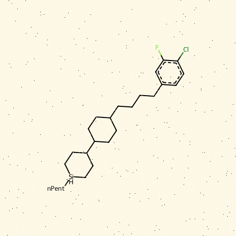 CCCCC[SiH]1CCC(C2CCC(CCCCc3ccc(Cl)c(F)c3)CC2)CC1